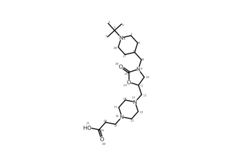 CC(C)(C)N1CCC(CN2CC(CN3CCN(CCC(=O)O)CC3)OC2=O)CC1